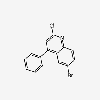 Clc1cc(-c2ccccc2)c2cc(Br)ccc2n1